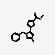 COC(=O)c1ccc(-c2cc(C)nn2Cc2ccccc2)o1